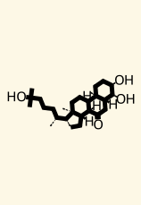 C[C@H](CCCC(C)(C)O)[C@H]1CC[C@H]2[C@@H]3C(=O)C[C@H]4[C@@H](O)[C@@H](O)CC[C@]4(C)[C@H]3CC[C@]12C